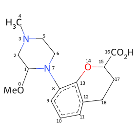 COC1CN(C)CCN1c1cccc2c1OC(C(=O)O)CC2